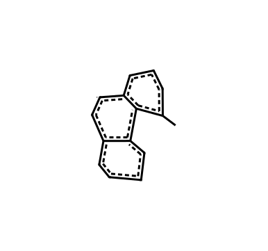 Cc1cccc2[c]cc3ccccc3c12